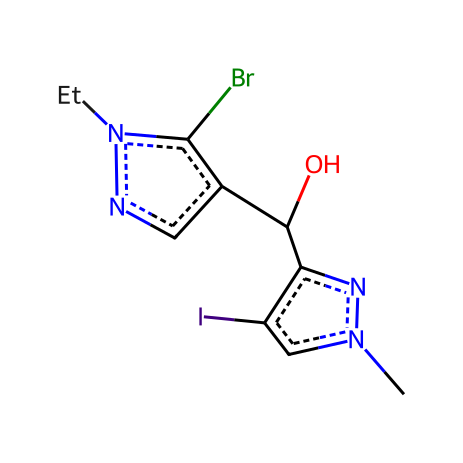 CCn1ncc(C(O)c2nn(C)cc2I)c1Br